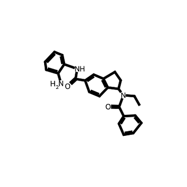 CCN(C(=O)c1ccccc1)C1CCc2cc(C(=O)Nc3ccccc3N)ccc21